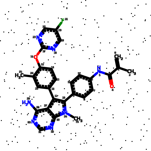 C=C(C)C(=O)Nc1ccc(-c2c(-c3ccc(Oc4ncc(F)cn4)c(C)c3)c3c(N)ncnc3n2C)cc1